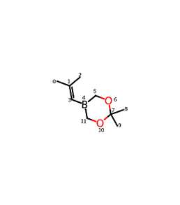 CC(C)=CB1COC(C)(C)OC1